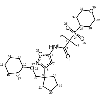 CC(C)(C(=O)Nc1cc(C2(COC3CCCCO3)CCCC2)no1)S(=O)(=O)C1CCOCC1